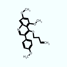 C=CCCOc1c(-c2ccc(OC)cc2)cnc2cc(OC)cc(OC)c12